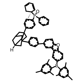 Cc1cc(C)c(B(c2ccc3oc4ccc(-c5ccc(C67CC8C[C@@H](C6)CC(c6ccc(P(=O)(c9ccccc9)[C@]9(C)C=CC=CC9)cc6)(C8)C7)cc5)cc4c3c2)c2c(C)cc(C)cc2C)c(C)c1